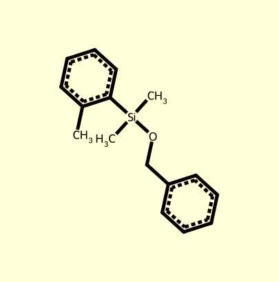 Cc1ccccc1[Si](C)(C)OCc1ccccc1